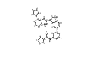 O=C(Nc1cncc(-c2cnc3[nH]nc(-c4nc5c(-c6ccoc6)cccc5[nH]4)c3c2)c1)C1CCCC1